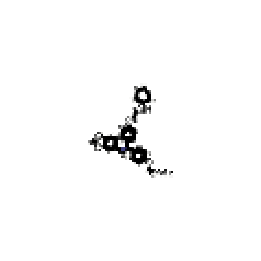 CC/C(=C(/c1ccc(OCCNC2CCCCC2)cc1)c1ccc(OCOC)cc1)c1ccc2c(c1)OCO2